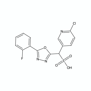 O=S(=O)(O)C(c1ccc(Cl)nc1)c1nnc(-c2ccccc2F)o1